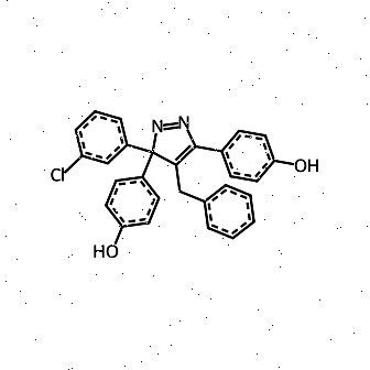 Oc1ccc(C2=C(Cc3ccccc3)C(c3ccc(O)cc3)(c3cccc(Cl)c3)N=N2)cc1